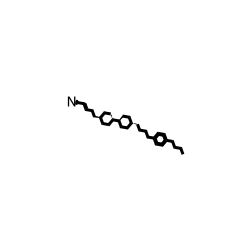 CCCCc1ccc(CCCC[C@H]2CC[C@H]([C@H]3CC[C@H](CCC=CC#N)CC3)CC2)cc1